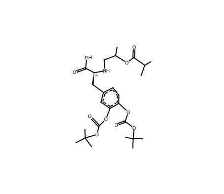 CC(CN[C@@H](Cc1ccc(OC(=O)OC(C)(C)C)c(OC(=O)OC(C)(C)C)c1)C(=O)O)OC(=O)C(C)C